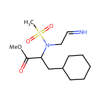 COC(=O)C(CC1CCCCC1)N(CC=N)S(C)(=O)=O